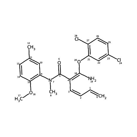 C=C/C=C\C(C(=O)N(C)c1cc(C)ccc1OC)=C(/N)Oc1cc(Cl)ccc1Cl